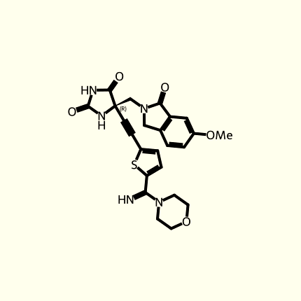 COc1ccc2c(c1)C(=O)N(C[C@@]1(C#Cc3ccc(C(=N)N4CCOCC4)s3)NC(=O)NC1=O)C2